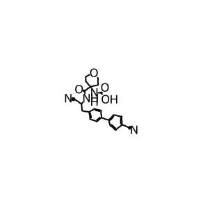 N#Cc1ccc(-c2ccc(CC(C#N)NC(=O)C3(NC(=O)O)CCOCC3)cc2)cc1